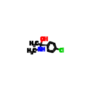 CNC(C)(O)c1ccc(Cl)cc1